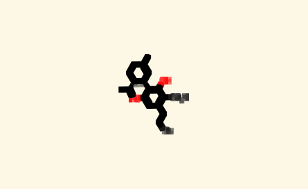 C=C(C)[C@@H]1CCC(C)=C[C@H]1c1c(O)cc(CCC(C)CC)c(C(=O)O)c1O